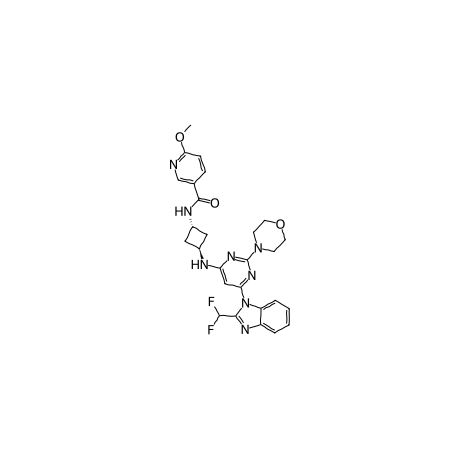 COc1ccc(C(=O)N[C@H]2C[C@H](Nc3cc(-n4c(C(F)F)nc5ccccc54)nc(N4CCOCC4)n3)C2)cn1